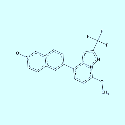 COc1ccc(-c2ccc3c[n+]([O-])ccc3c2)c2cc(C(F)(F)F)nn12